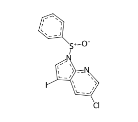 [O-][S+](c1ccccc1)n1cc(I)c2cc(Cl)cnc21